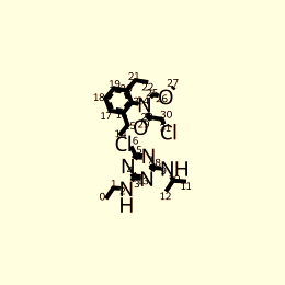 CCNc1nc(Cl)nc(NC(C)C)n1.CCc1cccc(CC)c1N(COC)C(=O)CCl